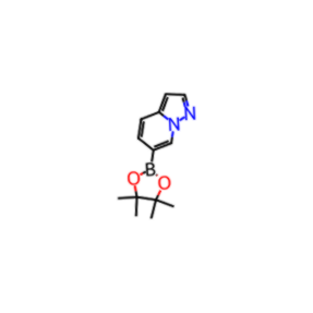 CC1(C)OB(c2ccc3ccnn3c2)OC1(C)C